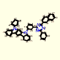 C1=CC(c2nc(-c3ccccc3)nc(-c3ccc4ccccc4c3)n2)CC(n2c3ccccc3c3cc4c5ccccc5n(-c5ccccc5)c4cc32)=C1